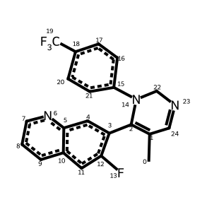 CC1=C(c2cc3ncccc3cc2F)N(c2ccc(C(F)(F)F)cc2)CN=C1